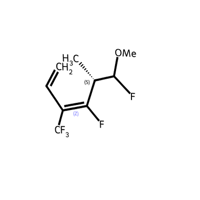 C=C/C(=C(/F)[C@H](C)C(F)OC)C(F)(F)F